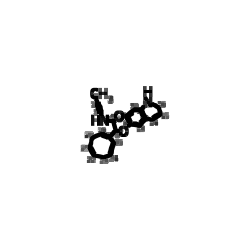 CC#CNC(=O)C(Oc1ccc2c(c1)C=CCN2)C1=C/C/C=C\C/C=C\1